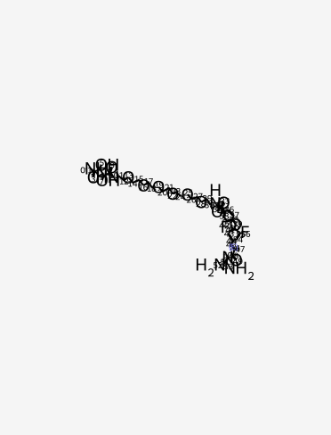 CNC(=O)C(O)C(O)C(=O)NCCOCCOCCOCCOCCOCCOCCNS(=O)(=O)c1ccc(Oc2c(F)cc(/C=C(\C)C(=O)N=C(N)N)cc2F)cc1